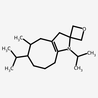 CC(C)C1CCCC2=C(CC1C)CC1(COC1)N2C(C)C